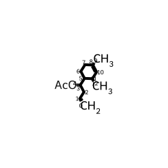 C=CCC(OC(C)=O)C1CCC(C)=CC1C